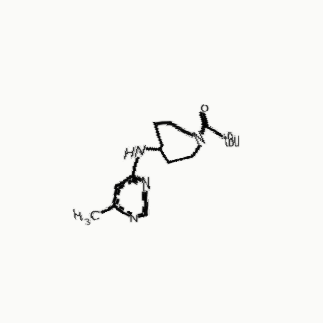 Cc1cc(NC2CCN(C(=O)C(C)(C)C)CC2)ncn1